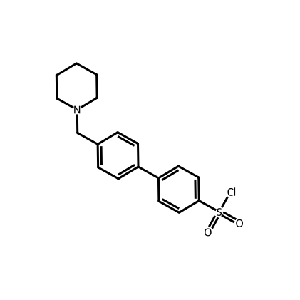 O=S(=O)(Cl)c1ccc(-c2ccc(CN3CCCCC3)cc2)cc1